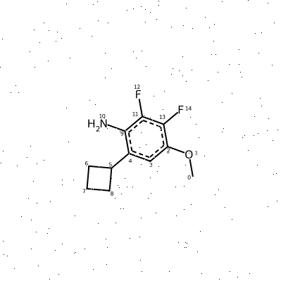 COc1cc(C2CCC2)c(N)c(F)c1F